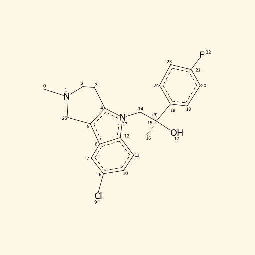 CN1CCc2c(c3cc(Cl)ccc3n2C[C@](C)(O)c2ccc(F)cc2)C1